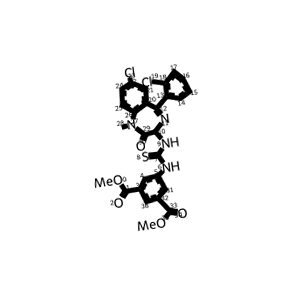 COC(=O)c1cc(NC(=S)NC2N=C(c3ccccc3Cl)c3cc(Cl)ccc3N(C)C2=O)cc(C(=O)OC)c1